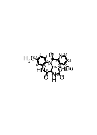 Cc1ccc2c(c1)NC(=O)C(NC(=O)OC(C)(C)C)CN2C(=O)c1ccccn1